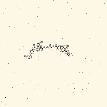 Cc1ncsc1-c1ccc(CNC(=O)[C@@H]2C[C@@H](O)CN2C(=O)[C@@H](NC(=O)CCCCC(=O)NCCNc2ccc(-c3cnc(NCc4ccco4)n(C=N)c3=N)cc2)C(C)(C)C)cc1